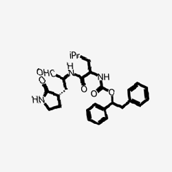 CC(C)CC(NC(=O)OC(Cc1ccccc1)c1ccccc1)C(=O)NC(C=O)C[C@@H]1CCNC1=O